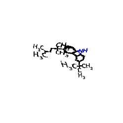 CC(C)CCC(C)(C)c1ccc2[nH]c3ccc(C(C)(C)C)cc3c2c1